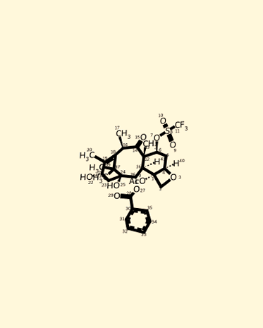 CC(=O)O[C@@]12CO[C@@H]1C[C@H](OS(=O)(=O)C(F)(F)F)[C@@]1(C)C(=O)[C@H](C)C3=C(C)[C@@H](O)C[C@@](O)([C@@H](OC(=O)c4ccccc4)[C@H]21)C3(C)C